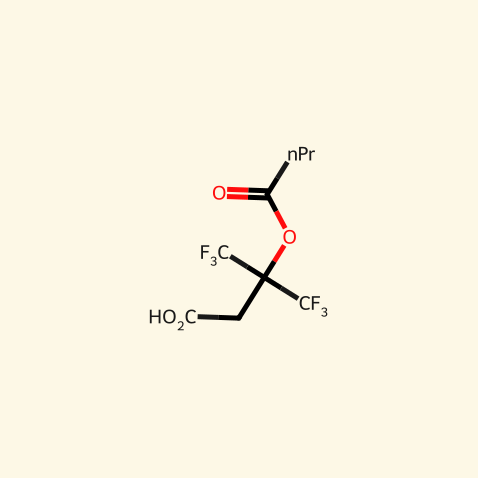 CCCC(=O)OC(CC(=O)O)(C(F)(F)F)C(F)(F)F